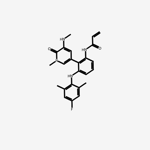 C=CC(=O)Nc1cccc(Nc2c(C)cc(F)cc2C)c1-c1cc(NC)c(=O)n(C)c1